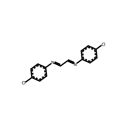 Clc1ccc(N=CC=Nc2ccc(Cl)cc2)cc1